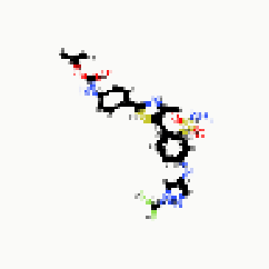 Cc1nc(C2CCC(NC(=O)OC(C)C)CC2)sc1-c1ccc(Nc2cnn(C(F)F)c2)cc1S(N)(=O)=O